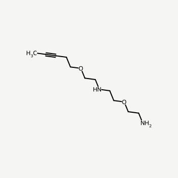 CC#CCCOCCNCCOCCN